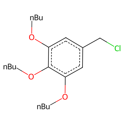 CCCCOc1cc(CCl)cc(OCCCC)c1OCCCC